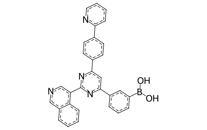 OB(O)c1cccc(-c2cc(-c3ccc(-c4ccccn4)cc3)nc(-c3cncc4ccccc34)n2)c1